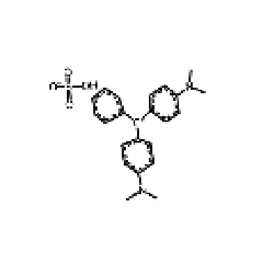 CN(C)c1ccc([C+](c2ccccc2)c2ccc(N(C)C)cc2)cc1.O=S(=O)([O-])O